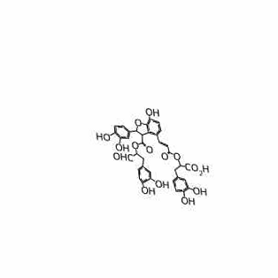 O=CC(Cc1ccc(O)c(O)c1)OC(=O)C1c2c(/C=C/C(=O)OC(Cc3ccc(O)c(O)c3)C(=O)O)ccc(O)c2OC1c1ccc(O)c(O)c1